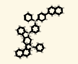 C1=CCC(N(C2=CC=C(c3ccc4ccccc4c3)CC2)c2cccc(N3c4ccccc4C4=Cc5c(n(-c6ccccc6)c6ccc7ccccc7c56)CC43)c2)C=C1